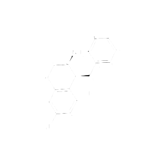 Cl.N[C@@H]1CCc2cc(F)ccc2[C@@H]1Cc1ccccc1